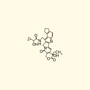 CC[C@@]1(O)C(=O)OCc2c1cc1n(c2=O)Cc2c-1nc1ccc3c(c1c2CNC(=O)C(O)C1CC1)CCC3